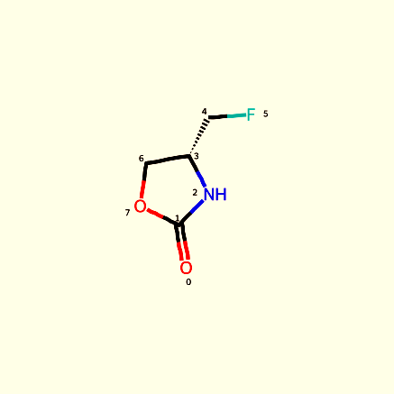 O=C1N[C@@H](CF)CO1